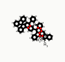 CC1(C)c2ccccc2-c2cc(-c3cccc(N(c4ccccc4-c4ccc5c(c4)C4(c6ccccc6-c6ccccc64)c4ccccc4-5)c4ccccc4-c4cccc5c4-c4ccccc4C5(C)C)c3)ccc21